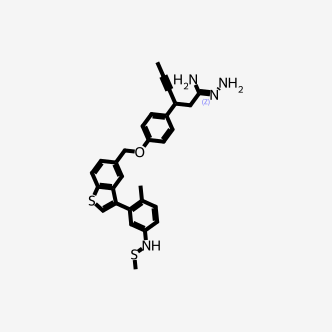 CC#CC(C/C(N)=N/N)c1ccc(OCc2ccc3scc(-c4cc(NSC)ccc4C)c3c2)cc1